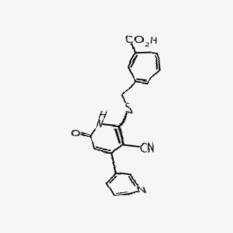 N#Cc1c(-c2cccnc2)cc(=O)[nH]c1SCc1cccc(C(=O)O)c1